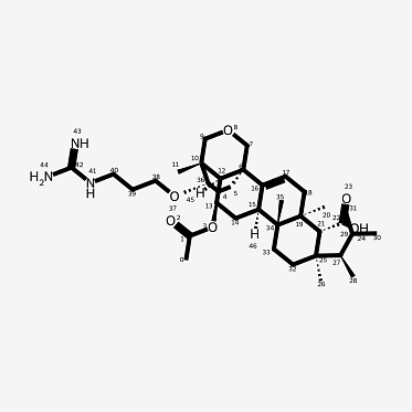 CC(=O)O[C@@H]1C[C@@]23COC[C@](C)([C@@H]2CC[C@H]2C3=CC[C@@]3(C)[C@H](C(=O)O)[C@@](C)([C@H](C)C(C)C)CC[C@]23C)[C@H]1OCCCNC(=N)N